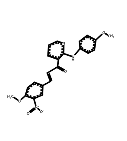 COc1ccc(Nc2ncccc2C(=O)/C=C/c2ccc(OC)c([N+](=O)[O-])c2)cc1